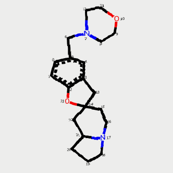 c1cc2c(cc1CN1CCOCC1)CC1(CCN3CCCC3C1)O2